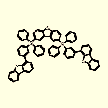 c1ccc([Si](c2ccccc2)(c2cccc(-c3cccc4c3sc3ccccc34)c2)c2ccc3sc4ccc([Si](c5ccccc5)(c5ccccc5)c5cccc(-c6cccc7c6sc6ccccc67)c5)cc4c3c2)cc1